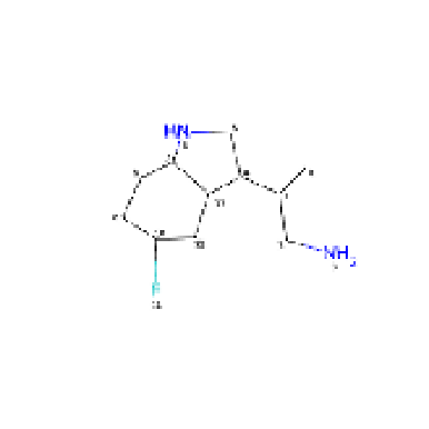 CC(CN)C1CNC2CCC(F)CC21